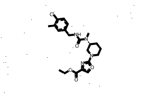 CCOC(=O)c1coc(N2CCC[C@@H](N(C)C(=O)NCc3ccc(Cl)c(C)c3)C2)n1